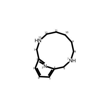 c1cc2nc(c1)CNCCCCCNC2